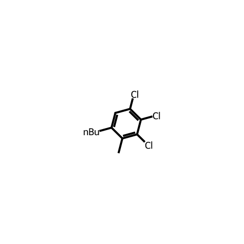 CCCCc1cc(Cl)c(Cl)c(Cl)c1C